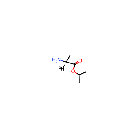 [2H][C@@](C)(N)C(=O)OC(C)C